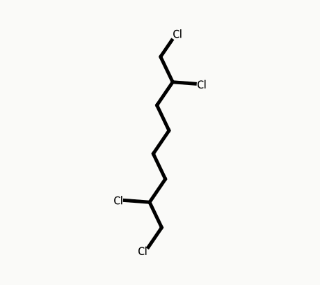 ClCC(Cl)CCCCC(Cl)CCl